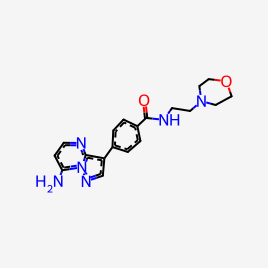 Nc1ccnc2c(-c3ccc(C(=O)NCCN4CCOCC4)cc3)cnn12